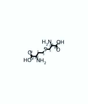 N[C@H](CCSC[C@@H](N)C(=O)O)C(=O)O